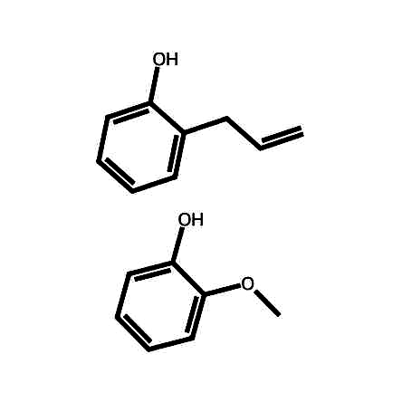 C=CCc1ccccc1O.COc1ccccc1O